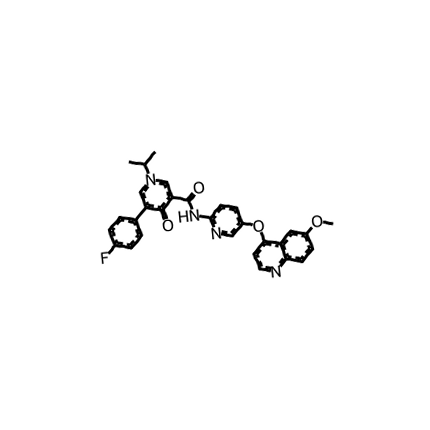 COc1ccc2nccc(Oc3ccc(NC(=O)c4cn(C(C)C)cc(-c5ccc(F)cc5)c4=O)nc3)c2c1